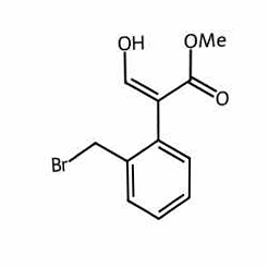 COC(=O)/C(=C\O)c1ccccc1CBr